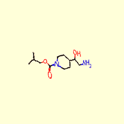 CC(C)COC(=O)N1CCC(C(O)CN)CC1